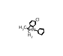 C=C(C)c1ccc(Cl)cc1Nc1ccccc1